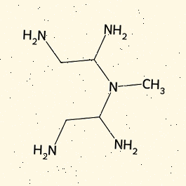 CN(C(N)CN)C(N)CN